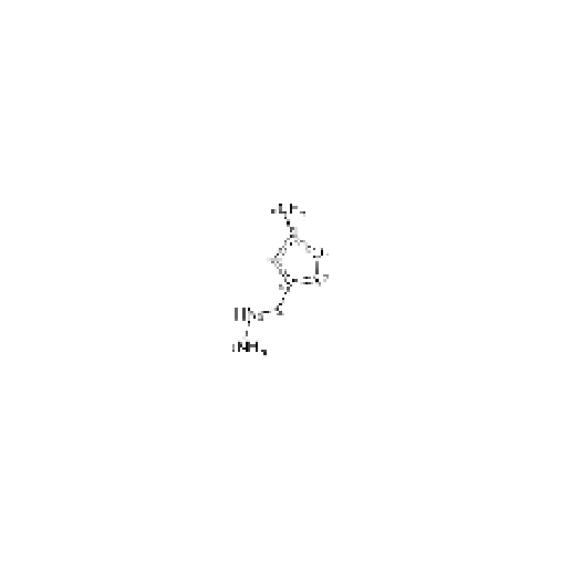 Cc1cc(CNN)no1